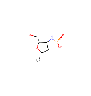 B[C@H]1CC(N[PH](=O)O)[C@@H](CO)O1